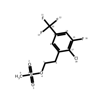 CS(=O)(=O)OCCc1cc(C(F)(F)F)cc(F)c1Cl